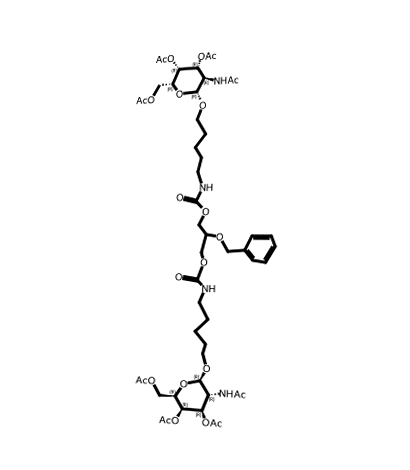 CC(=O)N[C@H]1[C@H](OCCCCCNC(=O)OCC(COC(=O)NCCCCCO[C@@H]2O[C@H](COC(C)=O)[C@H](OC(C)=O)[C@H](OC(C)=O)[C@H]2NC(C)=O)OCc2ccccc2)O[C@H](COC(C)=O)[C@H](OC(C)=O)[C@@H]1OC(C)=O